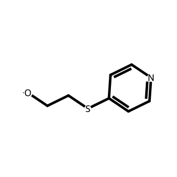 [O]CCSc1ccncc1